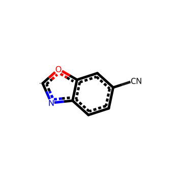 N#Cc1ccc2n[c]oc2c1